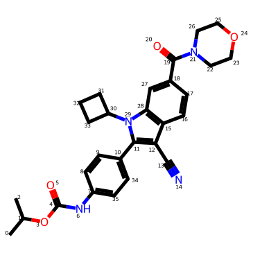 CC(C)OC(=O)Nc1ccc(-c2c(C#N)c3ccc(C(=O)N4CCOCC4)cc3n2C2CCC2)cc1